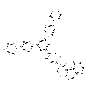 C/C=C\C(=C/C)c1ccc(C2=NC(c3ccc(C4C=CC=CC4)cc3)NC(C3=CC=C(C4=Nc5c(ccc6cccnc56)CC4)CC3)=C2)cc1